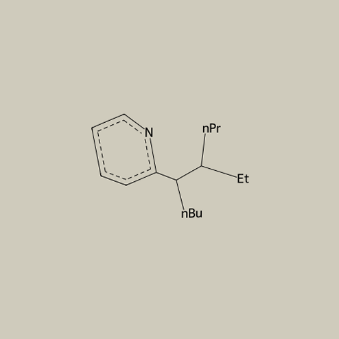 CCCCC(c1ccccn1)C(CC)CCC